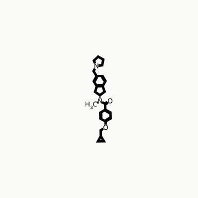 CN(C(=O)c1ccc(OCC2CC2)cc1)[C@@H]1Cc2ccc(CN3CCCC3)cc2C1